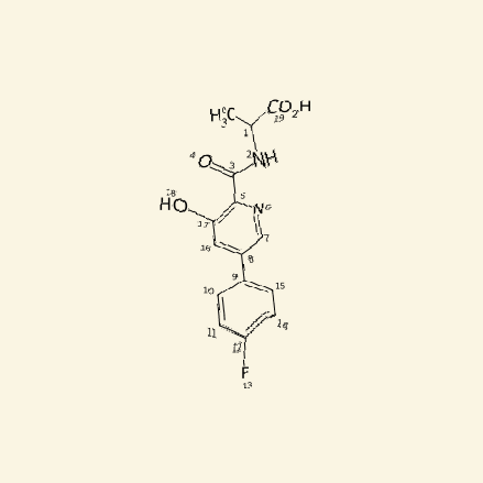 CC(NC(=O)c1ncc(-c2ccc(F)cc2)cc1O)C(=O)O